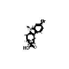 Cn1c2c(c3ccc(Br)cc31)C1CCC(C2)N1C(=O)O